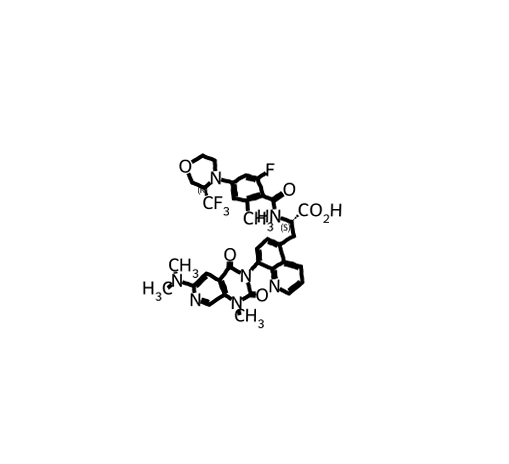 Cc1cc(N2CCOC[C@@H]2C(F)(F)F)cc(F)c1C(=O)N[C@@H](Cc1ccc(-n2c(=O)c3cc(N(C)C)ncc3n(C)c2=O)c2ncccc12)C(=O)O